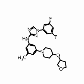 Cc1cc(Nc2ncn(-c3cc(F)cc(F)c3)n2)cc(N2CCC(OC3CCOC3)CC2)c1